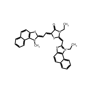 CCn1c(=O)/c(=C/C=C2\Sc3ccc4ccccc4c3N2C)s/c1=C\c1sc2ccc3ccccc3c2[n+]1CC